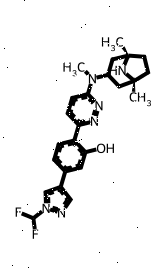 CN(c1ccc(-c2ccc(-c3cnn(C(F)F)c3)cc2O)nn1)C1C[C@]2(C)CC[C@](C)(C1)N2